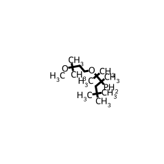 COC(C)(C)CCOC(C)(C)C(C)(P)CC(C)(C)C